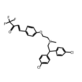 CN(CCOc1ccc(/C=C/C(=O)C(F)(F)F)cc1)CC(c1ccc(Cl)cc1)c1ccc(Cl)cc1